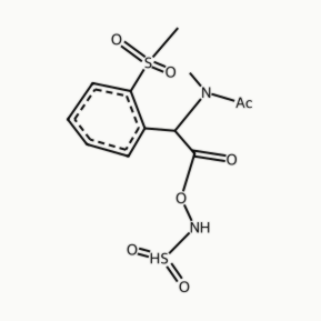 CC(=O)N(C)C(C(=O)ON[SH](=O)=O)c1ccccc1S(C)(=O)=O